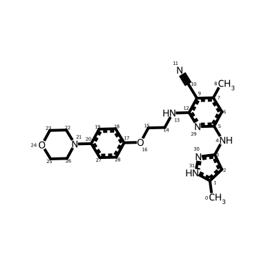 Cc1cc(Nc2cc(C)c(C#N)c(NCCOc3ccc(N4CCOCC4)cc3)n2)n[nH]1